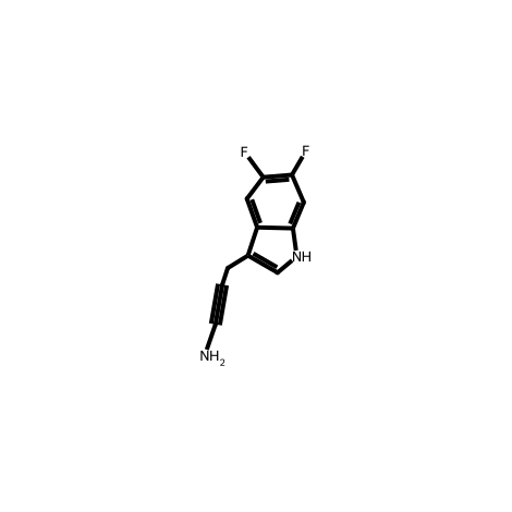 NC#CCc1c[nH]c2cc(F)c(F)cc12